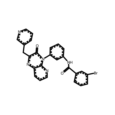 O=C(Nc1cccc(-n2c(=O)c(Cc3cccnc3)nc3cccnc32)c1)c1cccc(Br)c1